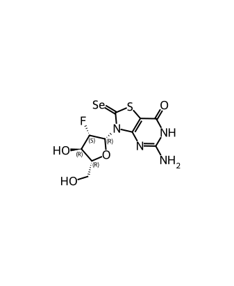 Nc1nc2c(sc(=[Se])n2[C@@H]2O[C@H](CO)[C@@H](O)[C@@H]2F)c(=O)[nH]1